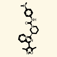 Cc1noc(C)c1-c1nc([C@@H]2CCCN(C(=O)Nc3ccc(N(C)C)cc3)C2)n2ccccc12